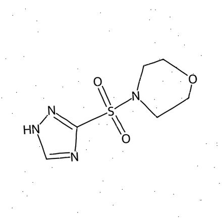 O=S(=O)(c1nc[nH]n1)N1CCOCC1